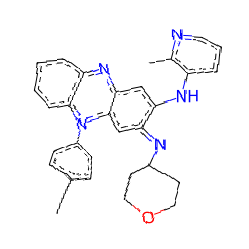 Cc1ccc(-n2c3c/c(=N\C4CCOCC4)c(Nc4cccnc4C)cc-3nc3ccccc32)cc1